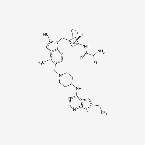 CC[C@@H](N)C(=O)NC12CC(Cn3c(C#N)cc4c(C)c(CN5CCC(Nc6ncnc7sc(CC(F)(F)F)cc67)CC5)ccc43)(C1)[C@@H]2C